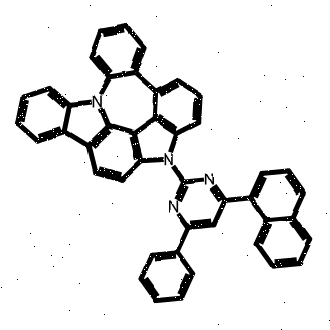 c1ccc(-c2cc(-c3cccc4ccccc34)nc(-n3c4cccc5c6ccccc6n6c7ccccc7c7ccc3c(c54)c76)n2)cc1